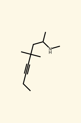 CCC#CC(C)(C)CC(C)NC